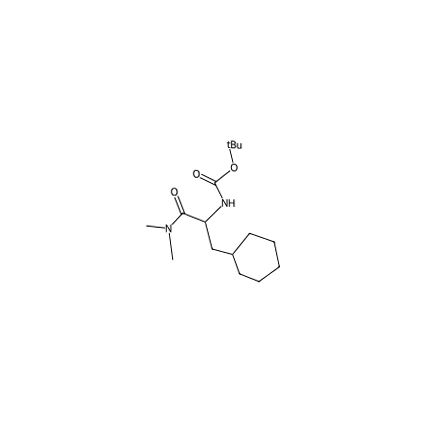 CN(C)C(=O)C(CC1CCCCC1)NC(=O)OC(C)(C)C